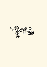 CS(=O)(=O)Nc1ccc(C(=O)N[C@H]2CCc3cc(-n4c(-c5cccnc5N)nc5ccc(-n6cccn6)nc54)ccc32)cc1C=O